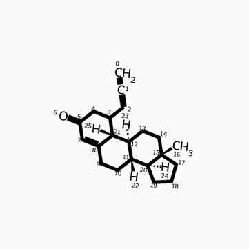 C=C=CC1CC(=O)C=C2CC[C@@H]3[C@H](CC[C@]4(C)CCC[C@@H]34)[C@H]21